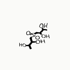 CC(O)C(O)CS(=O)(=O)CC(O)C(C)O